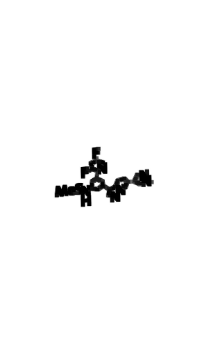 CSNc1cc(-c2ncc(F)cc2F)cc(-c2cnn3cc(-c4cnn(C)c4)ccc23)c1